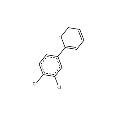 Clc1ccc(C2=CC=CC[CH]2)cc1Cl